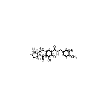 Cc1ccc(CNC(=O)c2cn3c(c(O)c2=O)C(=O)N2[C@@H]4CC[C@@H](C4)O[C@H]2C3)cc1F